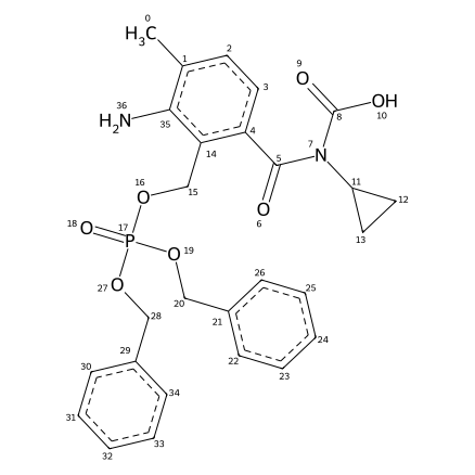 Cc1ccc(C(=O)N(C(=O)O)C2CC2)c(COP(=O)(OCc2ccccc2)OCc2ccccc2)c1N